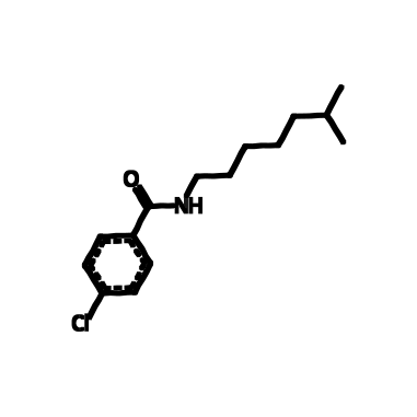 CC(C)CCCCCNC(=O)c1ccc(Cl)cc1